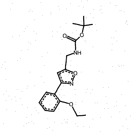 CCOc1ccccc1-c1cc(CNC(=O)OC(C)(C)C)on1